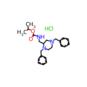 CC(C)OC(=O)NCC1CN(Cc2ccccc2)CCN1Cc1ccccc1.Cl